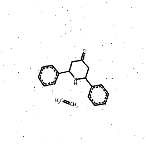 C=C.O=C1CC(c2ccccc2)NC(c2ccccc2)C1